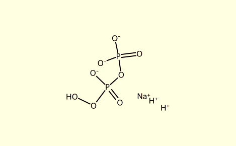 O=P([O-])([O-])OP(=O)([O-])OO.[H+].[H+].[Na+]